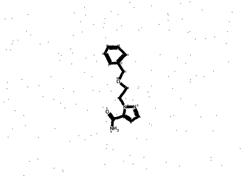 NC(=O)c1ccnn1CCOCc1ccccc1